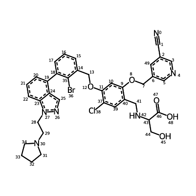 N#Cc1cncc(COc2cc(OCc3cccc(-c4cccc5c4cnn5CCN4CCCC4)c3Br)c(Cl)cc2CNC(CO)C(=O)O)c1